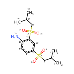 CC(C)CS(=O)(=O)c1ccc(N)c(S(=O)(=O)CC(C)C)c1